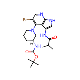 CC(C)C(=O)Nc1c[nH]c2ncc(Br)c(N3CCC[C@@H](NC(=O)OC(C)(C)C)C3)c12